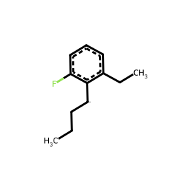 CCC[CH]c1c(F)cccc1CC